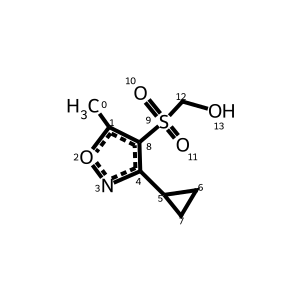 Cc1onc(C2CC2)c1S(=O)(=O)CO